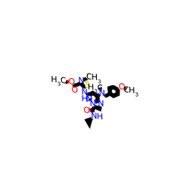 CCOC(=O)c1nc(C)sc1Nc1cc(N(C)Cc2ccc(OC)cc2)c2ncc(C(=O)NC3CC3)n2n1